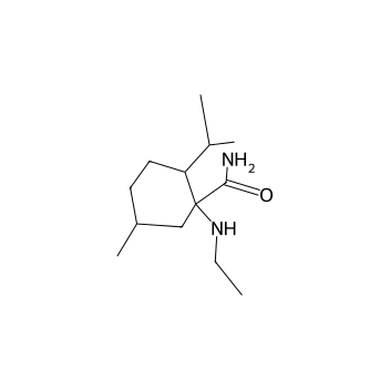 CCNC1(C(N)=O)CC(C)CCC1C(C)C